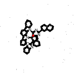 c1ccc(-c2nc(-c3ccc4ccccc4c3)nc(-n3c4ccccc4c4ccc5c6ccccc6n(-c6ccccc6-c6nc7ccccc7o6)c5c43)n2)cc1